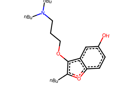 CCCCc1oc2ccc(O)cc2c1OCCCN(CCCC)CCCC